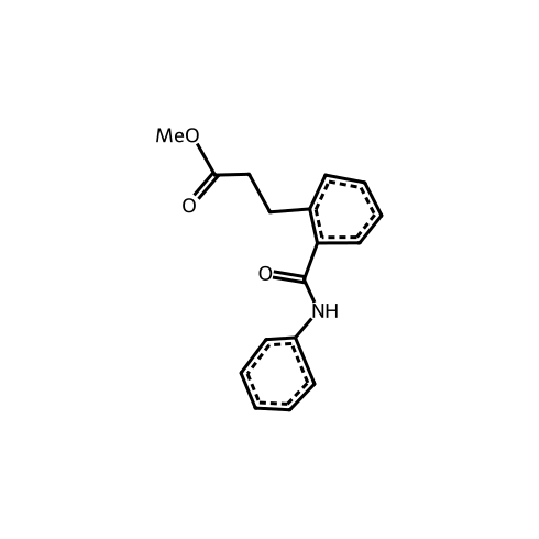 COC(=O)CCc1ccccc1C(=O)Nc1ccccc1